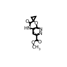 COC(=O)c1cc2c(nn1)OC1(CC1)C(=O)N2